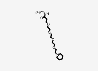 CCCCCNC(=O)CCOCCOCCOCCOCCN1CCCCC1